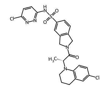 C[C@H](C(=O)N1Cc2ccc(S(=O)(=O)Nc3ccc(Cl)nn3)cc2C1)N1CCCc2cc(Cl)ccc21